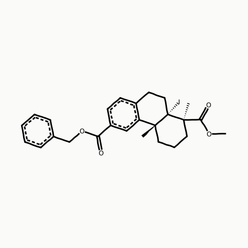 COC(=O)[C@@]1(C)CCC[C@]2(C)c3cc(C(=O)OCc4ccccc4)ccc3CC[C@@]12I